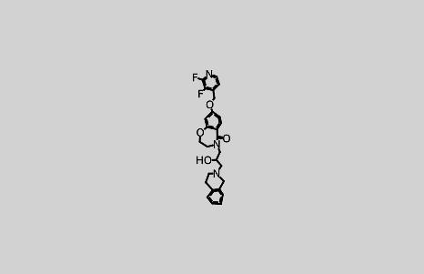 O=C1c2ccc(OCc3ccnc(F)c3F)cc2OCCN1CC(O)CN1CCc2ccccc2C1